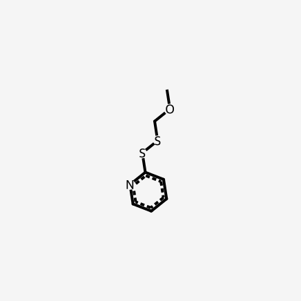 COCSSc1ccccn1